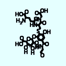 NC(CCC(=O)NC(CSc1c(O)cc(C(=O)NCC=O)cc1OC1OC(C(=O)O)[C@@H](O)[C@H](O)[C@H]1O)C(=O)NCC(=O)O)C(=O)O